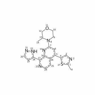 Cc1ncc(-c2cc(N3CCOCC3C)nc3c(-c4ccn[nH]4)nccc23)s1